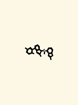 CC1=Cc2c(cccc2[Si](C)(C)C2C(C)=Cc3c(-c4cc(C)ccc4C)cccc32)C1